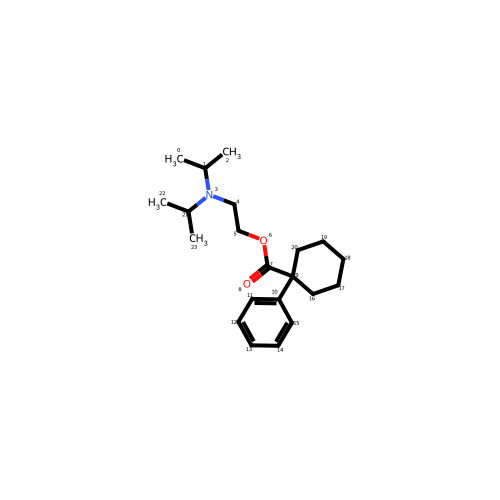 CC(C)N(CCOC(=O)C1(c2ccccc2)CCCCC1)C(C)C